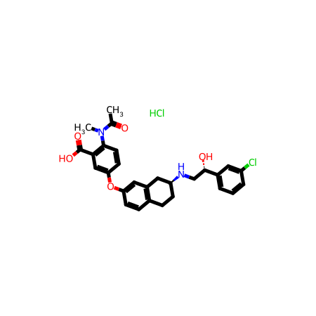 CC(=O)N(C)c1ccc(Oc2ccc3c(c2)C[C@@H](NC[C@H](O)c2cccc(Cl)c2)CC3)cc1C(=O)O.Cl